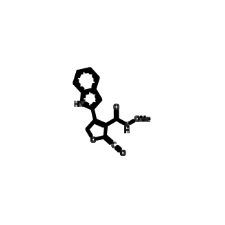 CONC(=O)C1=C(c2cc3ccccc3[nH]2)COC1=C=O